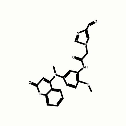 COc1ccc(N(C)c2cc(=O)oc3ccccc23)cc1NC(=O)Cn1cnc(C=O)c1